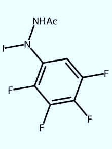 CC(=O)NN(I)c1cc(F)c(F)c(F)c1F